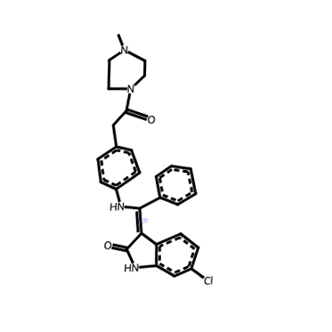 CN1CCN(C(=O)Cc2ccc(N/C(=C3\C(=O)Nc4cc(Cl)ccc43)c3ccccc3)cc2)CC1